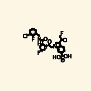 O=C(CF)c1cn(CC(=O)N2C[C@H](F)C[C@H]2C(=O)NCc2cccc(Cl)c2F)c2cc(P(=O)(O)O)ccc12